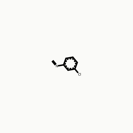 C=Nc1cccc(Cl)c1